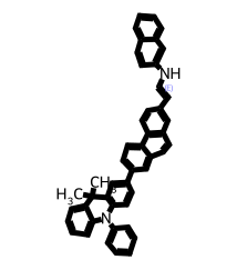 CC1(C)c2ccccc2N(c2ccccc2)c2ccc(-c3ccc4c(ccc5cc(/C=C/Nc6ccc7ccccc7c6)ccc54)c3)cc21